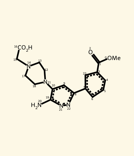 COC(=O)c1cccc(-c2cc(N3CCN(CC(=O)O)CC3)c(N)nn2)c1